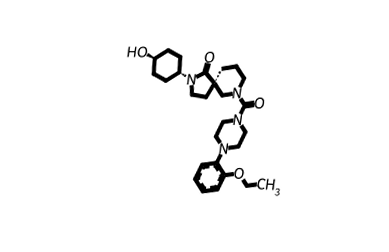 CCOc1ccccc1N1CCN(C(=O)N2CCC[C@@]3(CCN([C@H]4CC[C@H](O)CC4)C3=O)C2)CC1